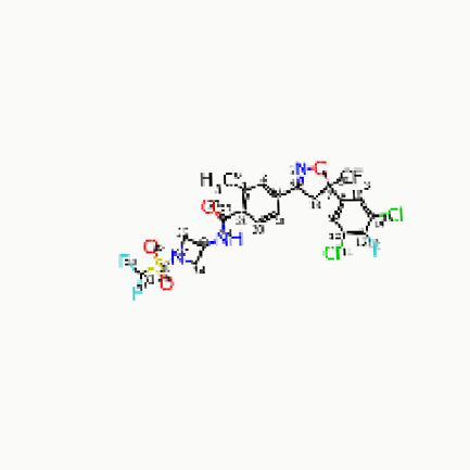 Cc1cc(C2=NO[C@@](c3cc(Cl)c(F)c(Cl)c3)(C(F)(F)F)C2)ccc1C(=O)NC1CN(S(=O)(=O)C(F)F)C1